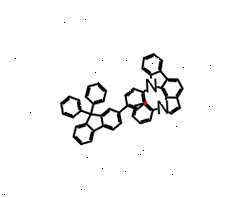 c1ccc(-n2ccc3ccc4c5ccccc5n(-c5ccc(-c6ccc7c(c6)C(c6ccccc6)(c6ccccc6)c6ccccc6-7)cc5)c4c32)cc1